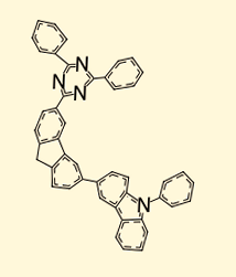 c1ccc(-c2nc(-c3ccccc3)nc(-c3ccc4c(c3)-c3cc(-c5ccc6c(c5)c5ccccc5n6-c5ccccc5)ccc3C4)n2)cc1